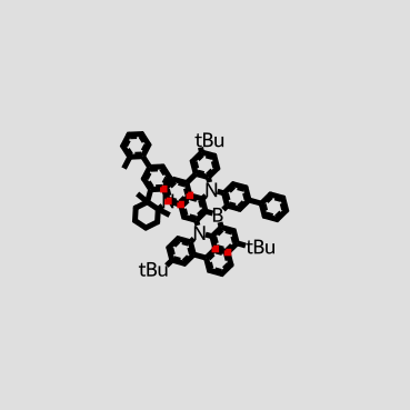 Cc1ccccc1-c1ccc2c(c1)C1(C)CCCCC1(C)N2c1cc2c3c(c1)N(c1ccc(C(C)(C)C)cc1-c1ccccc1)c1ccc(C(C)(C)C)cc1B3c1cc(-c3ccccc3)ccc1N2c1ccc(C(C)(C)C)cc1-c1ccccc1